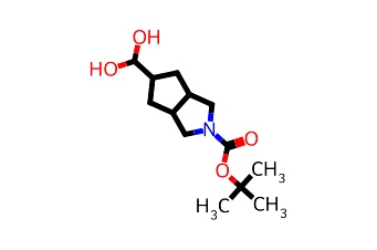 CC(C)(C)OC(=O)N1CC2CC(C(O)O)CC2C1